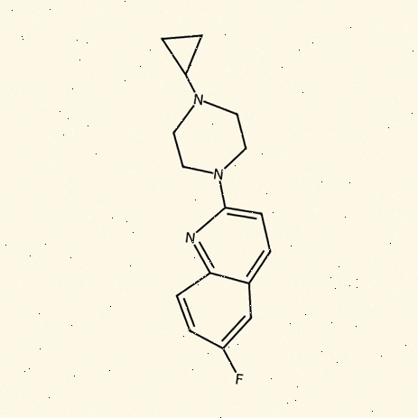 Fc1ccc2nc(N3CCN(C4CC4)CC3)ccc2c1